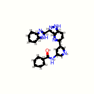 O=C(Nc1cncc(-c2ccc3[nH]nc(-c4nc5ccccc5[nH]4)c3n2)c1)c1ccccc1